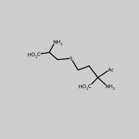 CC(=O)C(N)(CCSCC(N)C(=O)O)C(=O)O